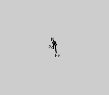 N#[C][Fe].[Pd]